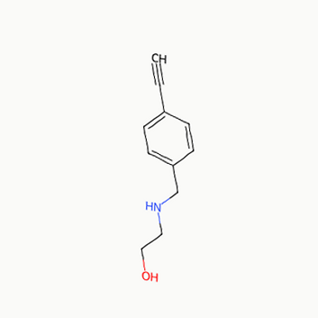 C#Cc1ccc(CNCCO)cc1